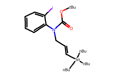 CCC[CH2][Sn]([CH]=CCN(C(=O)OC(C)(C)C)c1ccccc1I)([CH2]CCC)[CH2]CCC